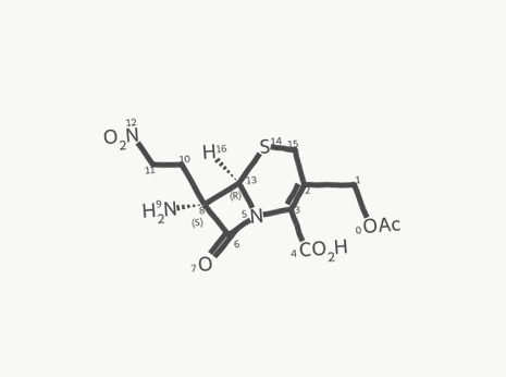 CC(=O)OCC1=C(C(=O)O)N2C(=O)[C@@](N)(CC[N+](=O)[O-])[C@H]2SC1